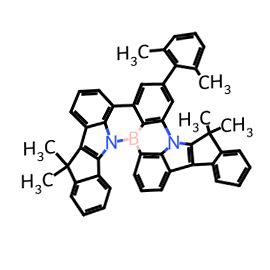 Cc1cccc(C)c1-c1cc2c3c(c1)-n1c4c(c5cccc(c51)B3n1c3c(c5cccc-2c51)C(C)(C)c1ccccc1-3)-c1ccccc1C4(C)C